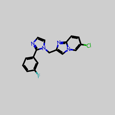 Fc1cccc(-c2nccn2Cc2cn3cc(Cl)ccc3n2)c1